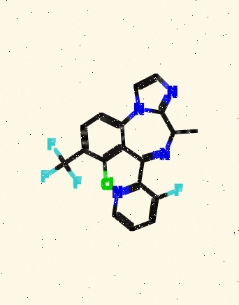 CC1N=C(c2ncccc2F)c2c(ccc(C(F)(F)F)c2Cl)-n2ccnc21